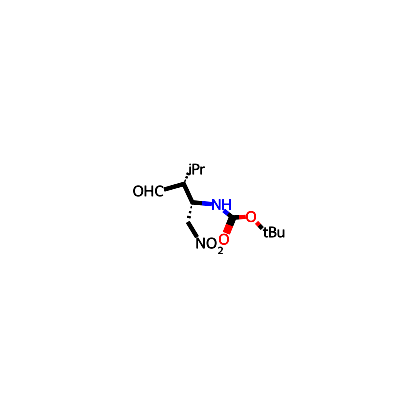 CC(C)[C@@H](C=O)[C@@H](C[N+](=O)[O-])NC(=O)OC(C)(C)C